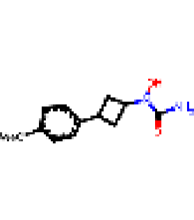 COc1ccc(C2CC(N(O)C(N)=O)C2)cc1